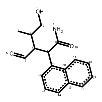 CC(CO)C(C=O)C(C(N)=O)c1cccc2ccccc12